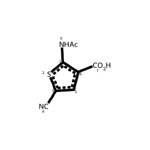 CC(=O)Nc1sc(C#N)cc1C(=O)O